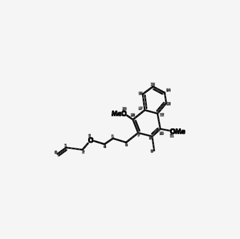 C=CCOCCCc1c(C)c(OC)c2ccccc2c1OC